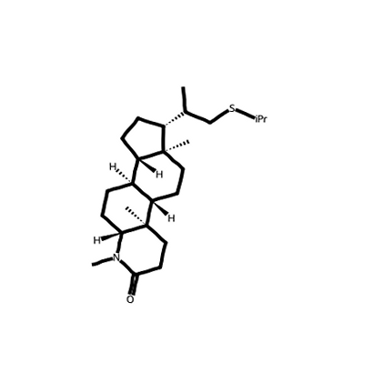 CC(C)SCC(C)[C@H]1CC[C@H]2[C@@H]3CC[C@H]4N(C)C(=O)CC[C@]4(C)[C@H]3CC[C@]12C